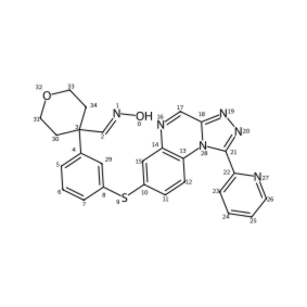 ON=CC1(c2cccc(Sc3ccc4c(c3)ncc3nnc(-c5ccccn5)n34)c2)CCOCC1